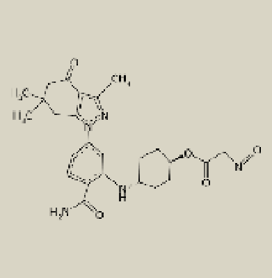 Cc1nn(-c2ccc(C(N)=O)c(N[C@H]3CC[C@H](OC(=O)CN=O)CC3)c2)c2c1C(=O)CC(C)(C)C2